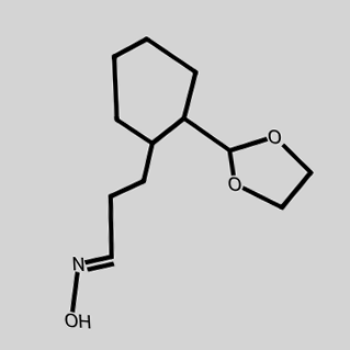 ON=CCCC1CCCCC1C1OCCO1